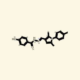 Cc1ccc(-n2c(C)cc(/C=N/NC(=O)c3ccc(O)cc3)c2C)cc1